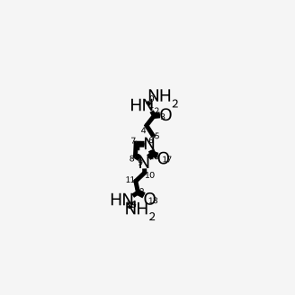 NNC(=O)CCn1ccn(CCC(=O)NN)c1=O